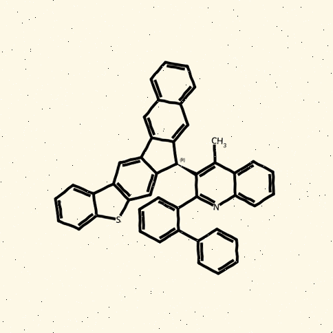 Cc1c([C@@H]2c3cc4ccccc4cc3-c3cc4c(cc32)sc2ccccc24)c(-c2ccccc2-c2ccccc2)nc2ccccc12